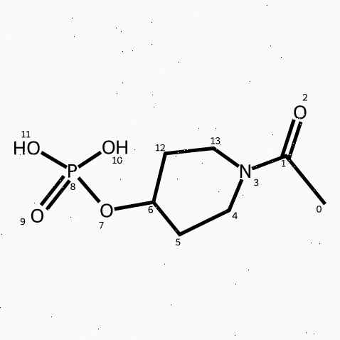 CC(=O)N1CCC(OP(=O)(O)O)CC1